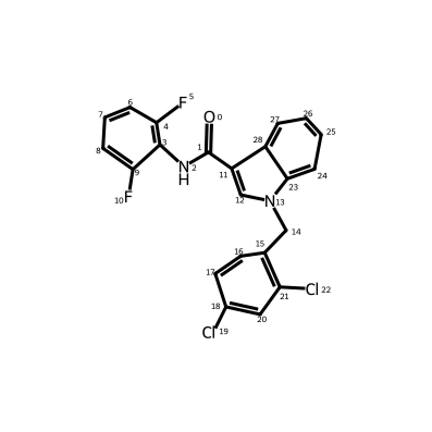 O=C(Nc1c(F)cccc1F)c1cn(Cc2ccc(Cl)cc2Cl)c2ccccc12